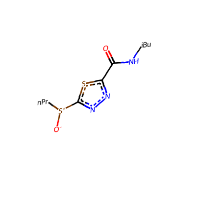 CCC[S+]([O-])c1nnc(C(=O)NC(C)CC)s1